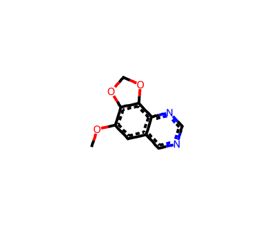 COc1cc2cncnc2c2c1OCO2